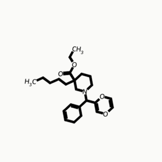 CCCCCC1(C(=O)OCC)CCCN(C(C2=CC=CCC2)C2=COC=CO2)C1